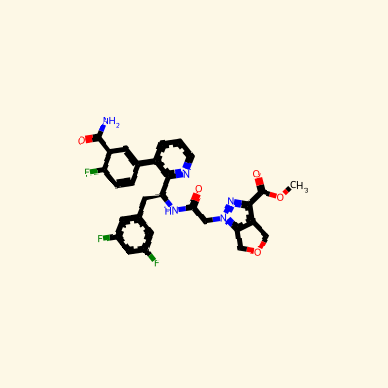 COC(=O)c1nn(CC(=O)N[C@@H](Cc2cc(F)cc(F)c2)c2ncccc2C2=CC(C(N)=O)C(F)C=C2)c2c1COC2